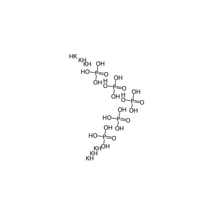 O=P(O)(O)O.O=P(O)(O)O.O=P(O)(O)O.O=P(O)(O)O.O=P(O)(O)O.[KH].[KH].[KH].[KH].[KH].[KH]